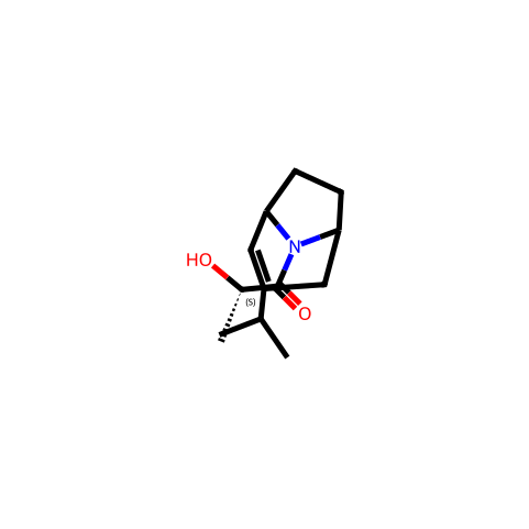 CC(C)C1=CC2CCC(C1)N2C(=O)[C@H](C)O